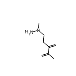 C=C(C)C(=C)CCN(C)N